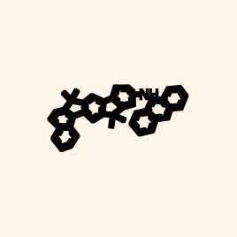 CC1(C)c2cc(Nc3c4ccccc4cc4ccccc34)ccc2-c2cc3c(cc21)-c1c(ccc2ccccc12)C3(C)C